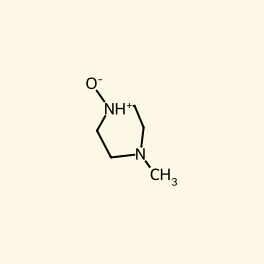 CN1CC[NH+]([O-])CC1